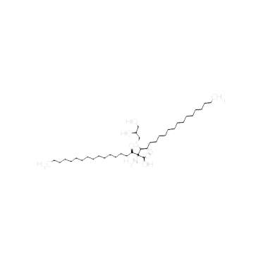 CCCCCCCCCCCCCCCC(=O)C(SCC(O)CO)[C@](N)(C(=O)O)C(=O)CCCCCCCCCCCCCCC